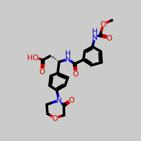 COC(=O)Nc1cccc(C(=O)N[C@@H](CC(=O)O)c2ccc(N3CCOCC3=O)cc2)c1